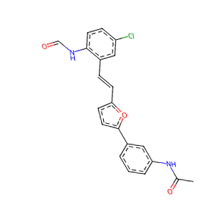 CC(=O)Nc1cccc(-c2ccc(/C=C/c3cc(Cl)ccc3NC=O)o2)c1